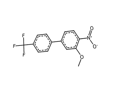 COc1cc(-c2ccc(C(F)(F)F)cc2)ccc1[N+](=O)[O-]